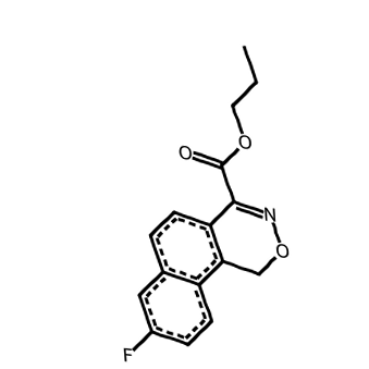 CCCOC(=O)C1=NOCc2c1ccc1cc(F)ccc21